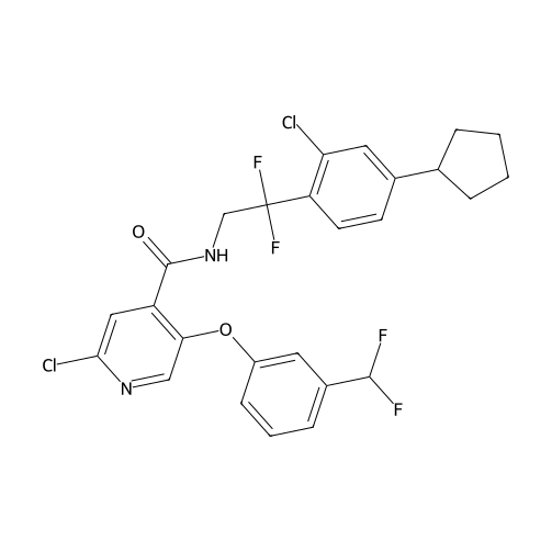 O=C(NCC(F)(F)c1ccc(C2CCCC2)cc1Cl)c1cc(Cl)ncc1Oc1cccc(C(F)F)c1